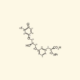 CC(C)O[C@@H](Cc1cccc(OC[C@@H](O)COc2ccc(Cl)c(F)c2)c1)C(=O)O